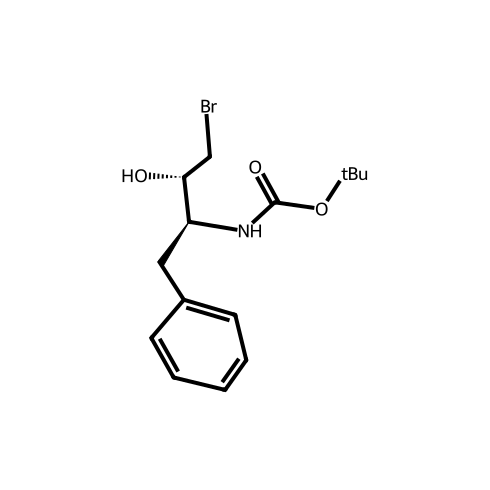 CC(C)(C)OC(=O)N[C@@H](Cc1ccccc1)[C@H](O)CBr